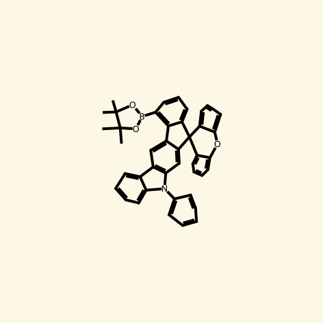 CC1(C)OB(c2cccc3c2-c2cc4c5ccccc5n(-c5ccccc5)c4cc2C32c3ccccc3Oc3ccccc32)OC1(C)C